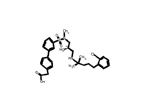 CN(C[C@H](O)CNC(C)(C)CCCc1ccccc1Cl)S(=O)(=O)c1cccc(-c2ccc(CC(=O)O)cc2)c1